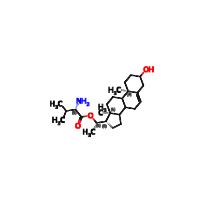 CC(C)[C@H](N)C(=O)O[C@@H](C)[C@H]1CCC2C3CC=C4CC(O)CC[C@]4(C)C3CC[C@@]21C